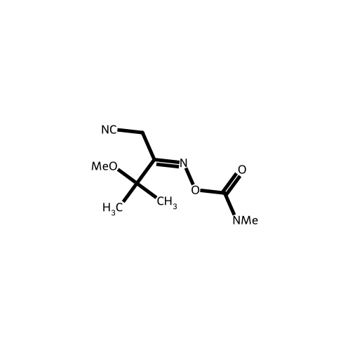 CNC(=O)ON=C(CC#N)C(C)(C)OC